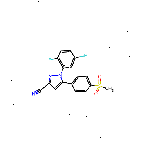 CS(=O)(=O)c1ccc(-c2cc(C#N)nn2-c2cc(F)ccc2F)cc1